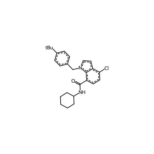 CC(C)(C)c1ccc(Cn2ccc3c(Cl)ccc(C(=O)NC4CCCCC4)c32)cc1